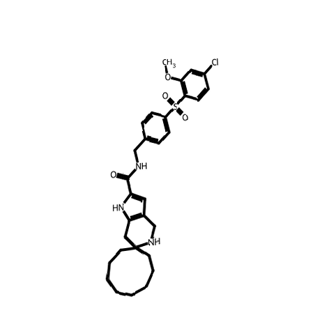 COc1cc(Cl)ccc1S(=O)(=O)c1ccc(CNC(=O)c2cc3c([nH]2)CC2(CCCCCCCC2)NC3)cc1